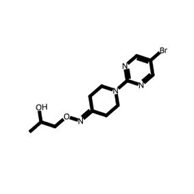 CC(O)CON=C1CCN(c2ncc(Br)cn2)CC1